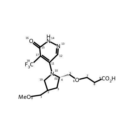 COCC1C[C@@H](COCCC(=O)O)N(c2cn[nH]c(=O)c2C(F)(F)F)C1